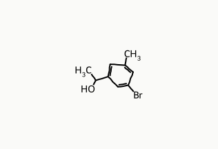 Cc1cc(Br)cc(C(C)O)c1